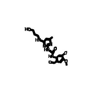 COc1cc(C=O)c(NC(=O)Nc2nc(C)cc(NCCCO)n2)cc1Cl